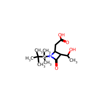 CC(O)C1C(=O)N([Si](C)(C)C(C)(C)C)C1CC(=O)O